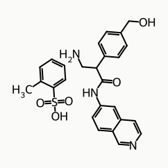 Cc1ccccc1S(=O)(=O)O.NCC(C(=O)Nc1ccc2cnccc2c1)c1ccc(CO)cc1